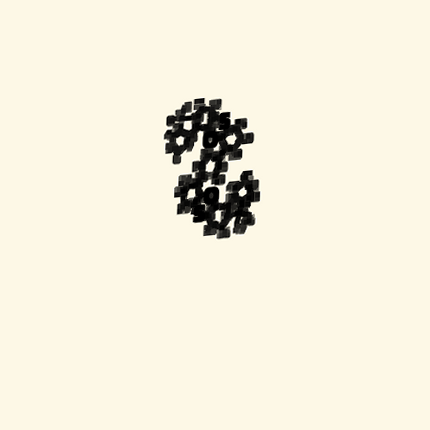 CC1(C)c2ccccc2-c2c1ccc1c2Oc2c(cccc2-c2ccc(-c3cccc4c3Oc3c(ccc5c3-c3ccccc3C5(C)C)S4)cc2)S1